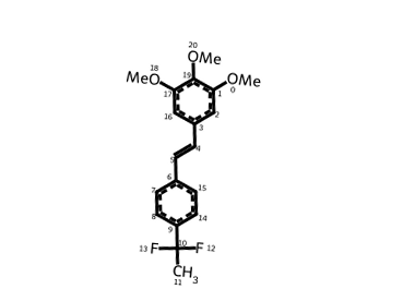 COc1cc(C=Cc2ccc(C(C)(F)F)cc2)cc(OC)c1OC